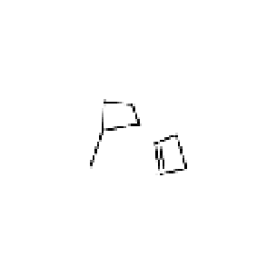 C[C]1CCC1.[C]1=CCC1